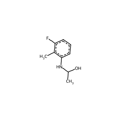 Cc1c(F)cccc1NC(C)O